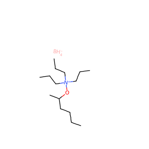 CCCCC(C)O[N+](CCC)(CCC)CCC.[BH4-]